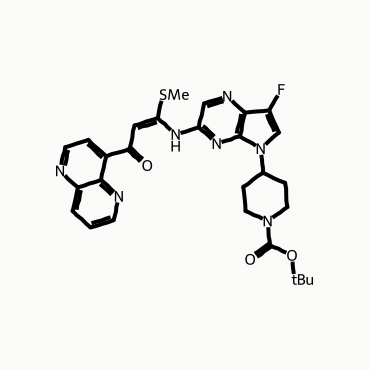 CSC(=CC(=O)c1ccnc2cccnc12)Nc1cnc2c(F)cn(C3CCN(C(=O)OC(C)(C)C)CC3)c2n1